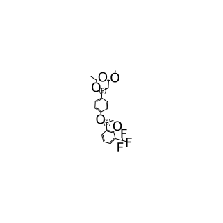 CCO[C@@H](CC(=O)OC)c1ccc(O[C@@H]2COc3c2cccc3C(F)(F)F)cc1